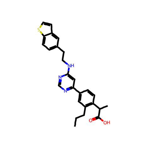 CCCc1cc(-c2cc(NCCc3ccc4sccc4c3)ncn2)ccc1C(C)C(=O)O